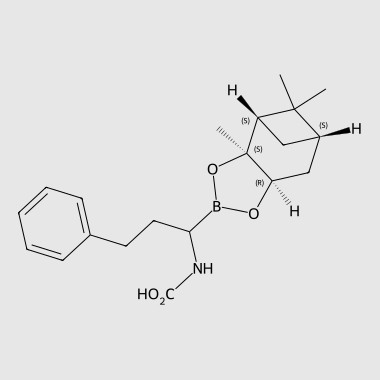 CC1(C)[C@@H]2C[C@H]3OB(C(CCc4ccccc4)NC(=O)O)O[C@@]3(C)[C@H]1C2